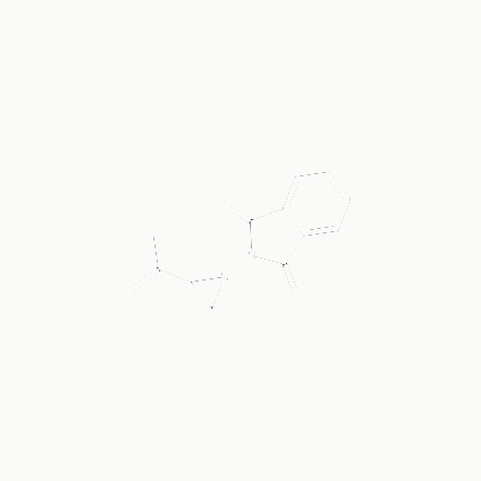 C=C(C)C1CN1N1C(=O)c2ccccc2C1=O